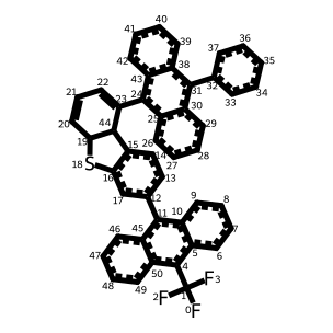 FC(F)(F)c1c2ccccc2c(-c2ccc3c(c2)SC2C=CC=C(c4c5ccccc5c(-c5ccccc5)c5ccccc45)C32)c2ccccc12